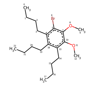 CCCCc1c(Br)c(OC)c(OC)c(CCCC)c1CCCC